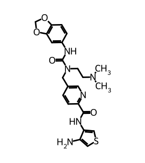 CN(C)CCN(Cc1ccc(C(=O)Nc2cscc2N)nc1)C(=O)Nc1ccc2c(c1)OCO2